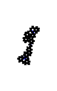 C(=C\c1ccc2c(ccc3cc(N4c5ccccc5Cc5ccccc54)ccc32)c1)/c1ccc2c(c1)C(c1ccccc1)(c1ccccc1)c1cc(N3CCCc4ccccc43)ccc1-2